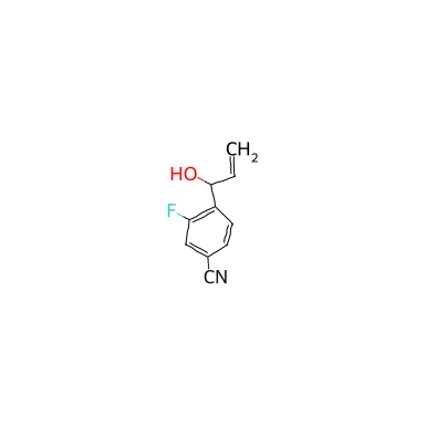 C=CC(O)c1ccc(C#N)cc1F